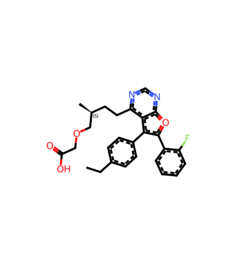 CCc1ccc(-c2c(-c3ccccc3F)oc3ncnc(CC[C@H](C)COCC(=O)O)c23)cc1